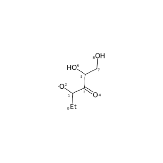 CCC([O])C(=O)C(O)CO